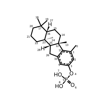 Cc1cc(OP(=O)(O)O)cc2c1[C@@]1(C)CC[C@H]3C(C)(C)CCC[C@]3(C)[C@H]1C2